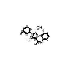 CC1=Nc2ccccc2N2NN(c3cccc(C)c3)C(O)=C12.O